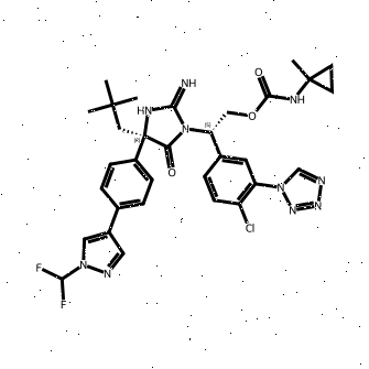 CC(C)(C)C[C@]1(c2ccc(-c3cnn(C(F)F)c3)cc2)NC(=N)N([C@H](COC(=O)NC2(C)CC2)c2ccc(Cl)c(-n3cnnn3)c2)C1=O